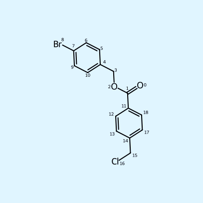 O=C(OCc1ccc(Br)cc1)c1ccc(CCl)cc1